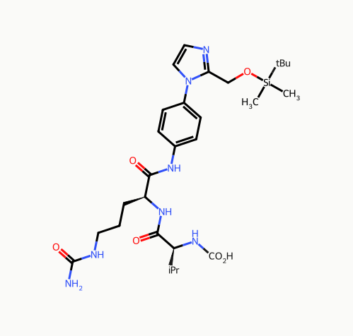 CC(C)[C@H](NC(=O)O)C(=O)N[C@@H](CCCNC(N)=O)C(=O)Nc1ccc(-n2ccnc2CO[Si](C)(C)C(C)(C)C)cc1